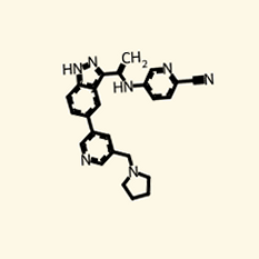 C=C(Nc1ccc(C#N)nc1)c1n[nH]c2ccc(-c3cncc(CN4CCCC4)c3)cc12